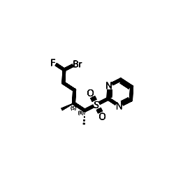 C[C@H]([C@@H](C)CCC(F)Br)S(=O)(=O)c1ncccn1